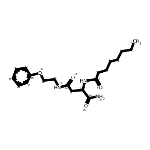 CCCCCCCC(=O)NC(CC(=O)NCCOc1ccccc1)C(N)=O